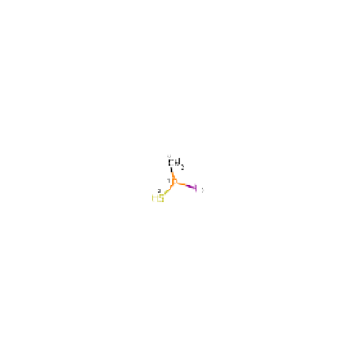 CP(S)I